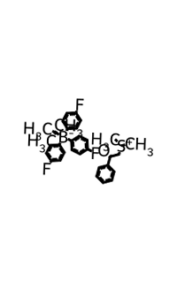 CC(C)(C)[B-](c1ccc(F)cc1)(c1ccc(F)cc1)c1ccc(F)cc1.C[S+](C)CC(=O)c1ccccc1